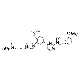 CCCN(C)CCCN1CCN(c2cc(-c3ccnc(NCc4cccc(OC)c4)n3)cc3ccc(C)cc23)CC1